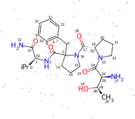 CC(C)[C@H](NC(=O)C1(Cc2ccccc2)CCCN1C(=O)[C@@H]1CCCN1C(=O)[C@@H](N)[C@@H](C)O)C(N)=O